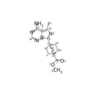 COC(=O)C12CCC(c3nc(I)c4c(N)ncnn34)(CC1)CC2